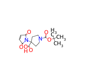 CC(C)(C)OC(=O)N1CCC(C(=O)O)(N2C(=O)C=CC2=O)CC1